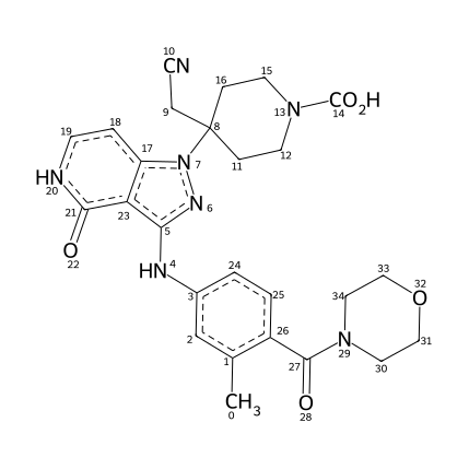 Cc1cc(Nc2nn(C3(CC#N)CCN(C(=O)O)CC3)c3cc[nH]c(=O)c23)ccc1C(=O)N1CCOCC1